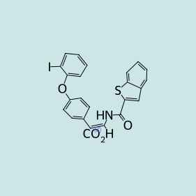 O=C(O)/C(=C/c1ccc(Oc2ccccc2I)cc1)NC(=O)c1cc2ccccc2s1